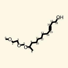 COCCOCOC(C)CCCCCCC#CCCO